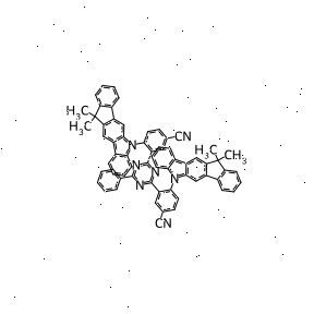 CC1(C)c2ccccc2-c2cc3c(cc21)c1ccccc1n3-c1ccc(C#N)cc1-c1nc(-c2ccccc2)nc(-c2cc(C#N)ccc2-n2c3ccccc3c3cc4c(cc32)-c2ccccc2C4(C)C)n1